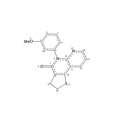 COc1cccc(-n2c(=O)c3c(c4cccnc42)SCC3)c1